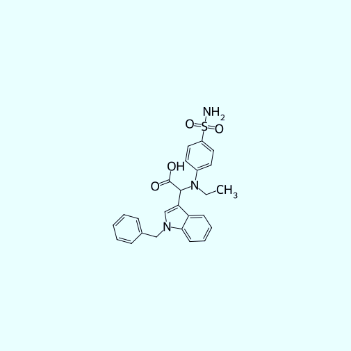 CCN(c1ccc(S(N)(=O)=O)cc1)C(C(=O)O)c1cn(Cc2ccccc2)c2ccccc12